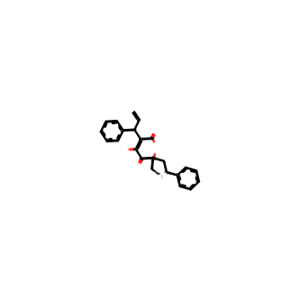 C=CC(C1=C(O)C(=O)C(CCc2ccccc2)(CC(C)C)OC1=O)c1ccccc1